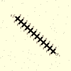 FC(F)(F)C(F)(F)C(F)(F)C(F)(F)C(F)(F)C(F)(F)C(F)(F)C(F)(F)C(F)(F)C(F)(F)C(F)(F)C(F)(F)C(F)(F)C(F)(F)F